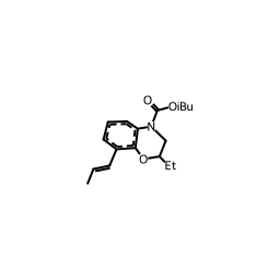 C/C=C/c1cccc2c1OC(CC)CN2C(=O)OCC(C)C